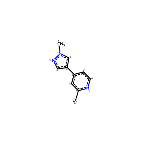 CCc1cc(-c2cnn(C)c2)ccn1